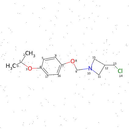 CC(C)Oc1ccc(OCN2CC(CCl)C2)cc1